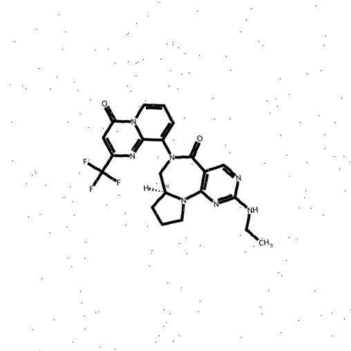 CCNc1ncc2c(n1)N1CCC[C@H]1CN(c1cccn3c(=O)cc(C(F)(F)F)nc13)C2=O